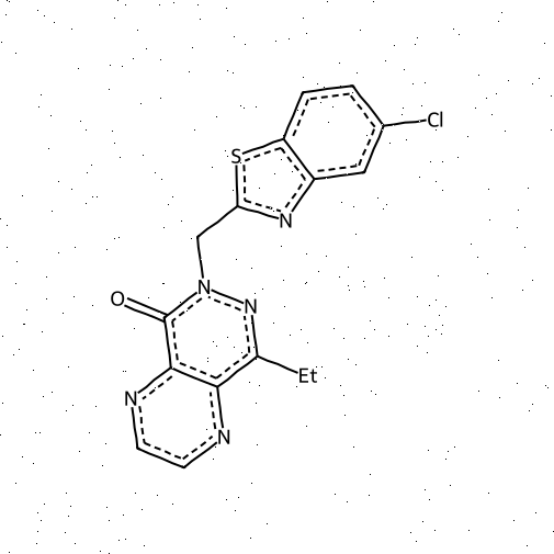 CCc1nn(Cc2nc3cc(Cl)ccc3s2)c(=O)c2nccnc12